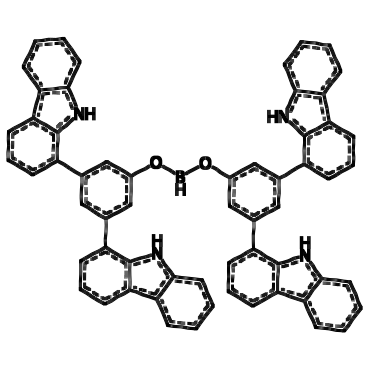 B(Oc1cc(-c2cccc3c2[nH]c2ccccc23)cc(-c2cccc3c2[nH]c2ccccc23)c1)Oc1cc(-c2cccc3c2[nH]c2ccccc23)cc(-c2cccc3c2[nH]c2ccccc23)c1